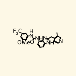 COc1ccc(C(F)(F)F)cc1NC(=O)Nc1cccc2[nH]c(Cc3ccncc3C)nc12